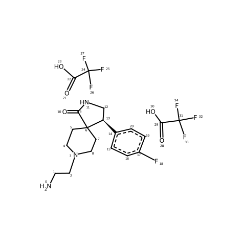 NCCN1CCC2(CC1)C(=O)NC[C@H]2c1ccc(F)cc1.O=C(O)C(F)(F)F.O=C(O)C(F)(F)F